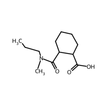 CCCN(C)C(=O)C1CCCCC1C(=O)O